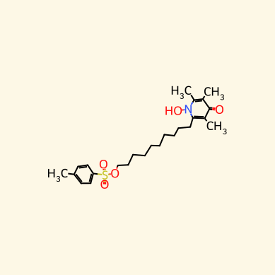 Cc1ccc(S(=O)(=O)OCCCCCCCCCCc2c(C)c(=O)c(C)c(C)n2O)cc1